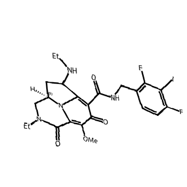 CCNC1C[C@@H]2CN(CC)C(=O)c3c(OC)c(=O)c(C(=O)NCc4ccc(F)c(I)c4F)c1n32